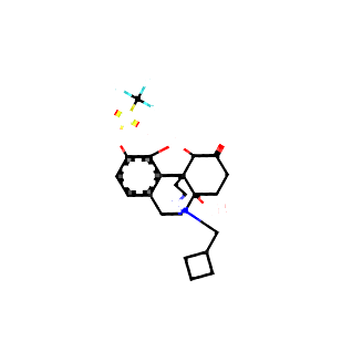 O=C1CCC2(O)C3Cc4ccc(OS(=O)(=O)C(F)(F)F)c5c4C2(CCN3CC2CCC2)C1O5